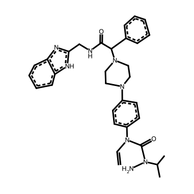 C=CN(C(=O)N(N)C(C)C)c1ccc(N2CCN(C(C(=O)NCc3nc4ccccc4[nH]3)c3ccccc3)CC2)cc1